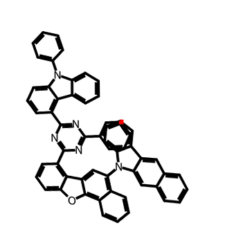 c1ccc(-c2nc(-c3cccc4oc5c6ccccc6c(-n6c7ccccc7c7cc8ccccc8cc76)cc5c34)nc(-c3cccc4c3c3ccccc3n4-c3ccccc3)n2)cc1